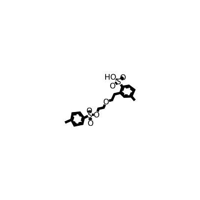 Cc1ccc(S(=O)(=O)OCCOCCc2cc(C)ccc2S(=O)(=O)O)cc1